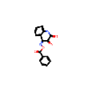 O=C1Nc2ccccc2C(=NOC(=O)c2ccccc2)C1=O